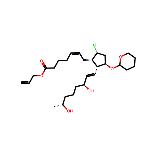 C=CCOC(=O)CCC/C=C\C[C@@H]1[C@@H](/C=C/[C@@H](O)CCC[C@@H](C)O)[C@H](OC2CCCCO2)C[C@H]1Cl